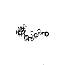 Cc1ncc(-c2cc(C(F)(F)F)c3c(N)ncnn23)cc1C(=O)N[C@@H]1CN(C(=O)OCc2ccccc2)C[C@@H]1C